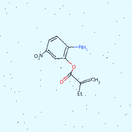 C=C(CC)C(=O)Oc1cc([N+](=O)[O-])ccc1N